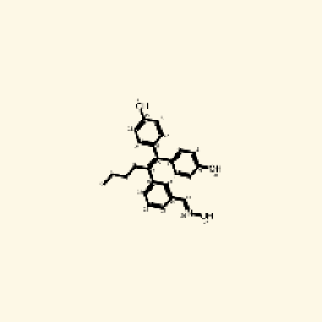 CCCCC(=C(c1ccc(O)cc1)c1ccc(O)cc1)c1cccc(/C=N/O)c1